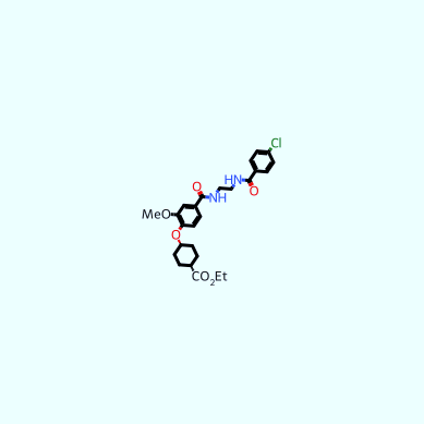 CCOC(=O)[C@H]1CC[C@@H](Oc2ccc(C(=O)NCCNC(=O)c3ccc(Cl)cc3)cc2OC)CC1